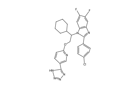 Fc1cc2nc(-c3ccc(Cl)cc3)n(C(COc3ccc(-c4nnn[nH]4)cn3)C3CCCCC3)c2cc1F